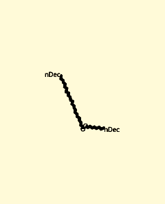 CCCCCCCCCCCCCCCCCCCCCCCCCCCCCCCCCCC(=O)OCCCCCCCCCCCCCCCCCC